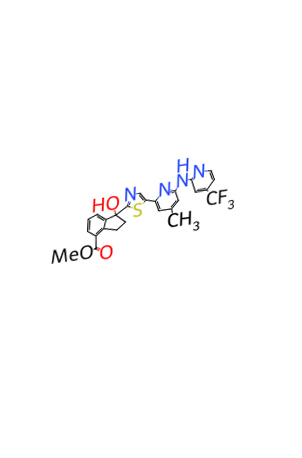 COC(=O)c1cccc2c1CCC2(O)c1ncc(-c2cc(C)cc(Nc3cc(C(F)(F)F)ccn3)n2)s1